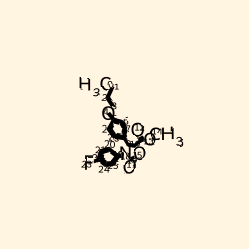 CCCCOc1ccc(C2C(C(=O)OC)OC(=O)N2c2ccc(F)cc2)cc1